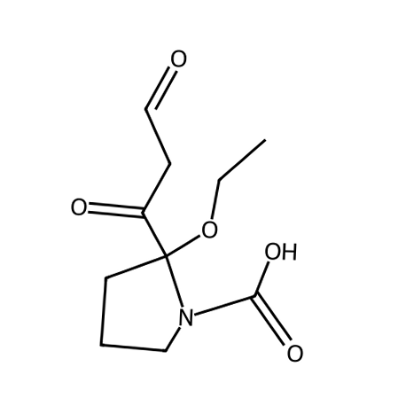 CCOC1(C(=O)CC=O)CCCN1C(=O)O